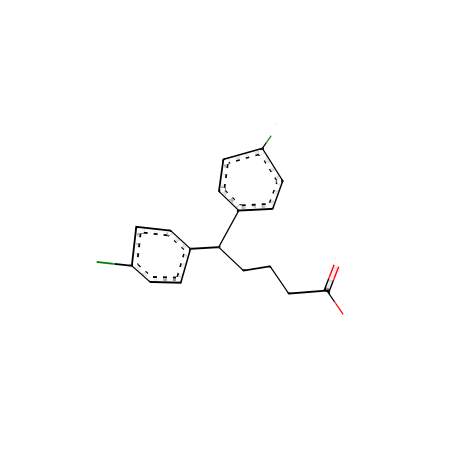 O=C(O)CCCC(c1ccc(F)cc1)c1ccc(F)cc1